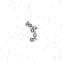 CS(=O)(=O)c1ccc(Nc2ncnc(OC3CCN(C(=O)c4ccccn4)CC3)c2C#N)cc1